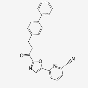 N#Cc1cccc(-c2cnc(C(=O)CCc3ccc(-c4ccccc4)cc3)o2)n1